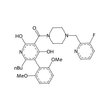 CCCCc1nc(O)c(C(=O)N2CCN(Cc3ncccc3F)CC2)c(O)c1-c1c(OC)cccc1OC